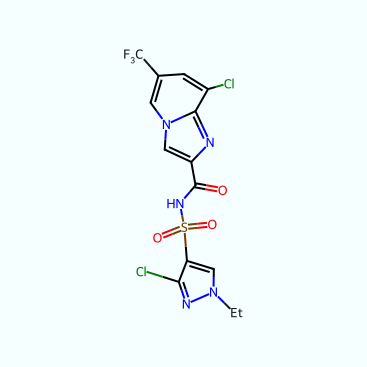 CCn1cc(S(=O)(=O)NC(=O)c2cn3cc(C(F)(F)F)cc(Cl)c3n2)c(Cl)n1